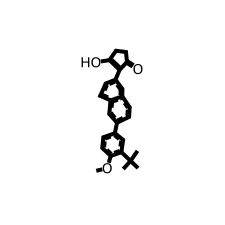 COc1ccc(-c2ccc3cc(C4=C(O)CCC4=O)ccc3c2)cc1C(C)(C)C